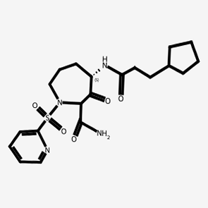 NC(=O)C1C(=O)[C@@H](NC(=O)[CH]CC2CCCC2)CCCN1S(=O)(=O)c1ccccn1